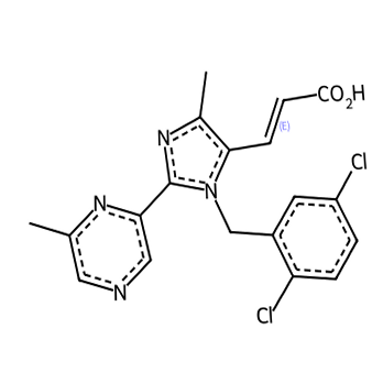 Cc1cncc(-c2nc(C)c(/C=C/C(=O)O)n2Cc2cc(Cl)ccc2Cl)n1